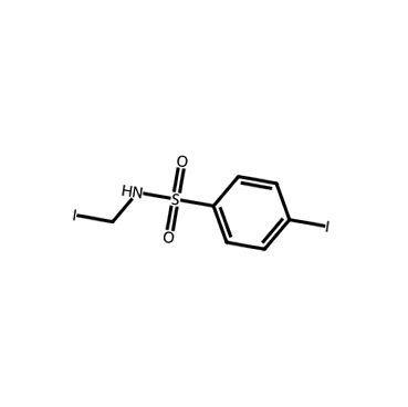 O=S(=O)(NCI)c1ccc(I)cc1